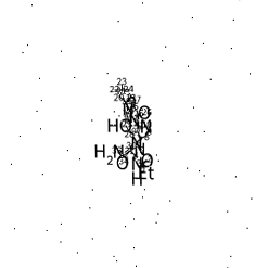 CCC(=O)Nc1nn(-c2ccnc(N3CCn4c(cc5c4CC(C)(C)C5)C3=O)c2CO)cc1C(N)=O